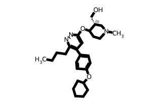 CCCCc1nnc(OC2CCN(C)C[C@H]2CO)cc1-c1ccc(OC2CCCCC2)cc1